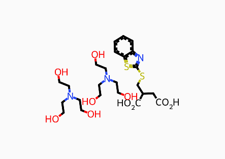 O=C(O)CC(CSc1nc2ccccc2s1)C(=O)O.OCCN(CCO)CCO.OCCN(CCO)CCO